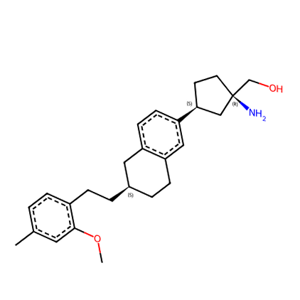 COc1cc(C)ccc1CC[C@@H]1CCc2cc([C@H]3CC[C@](N)(CO)C3)ccc2C1